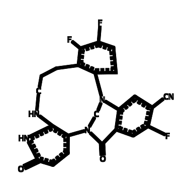 N#Cc1cc2c(cc1F)C(=O)N1CN2c2ccc(F)c(F)c2CCCNc2[nH]c(=O)ccc21